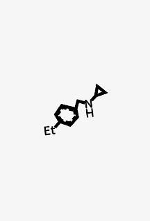 CCc1ccc(CNC2CC2)cc1